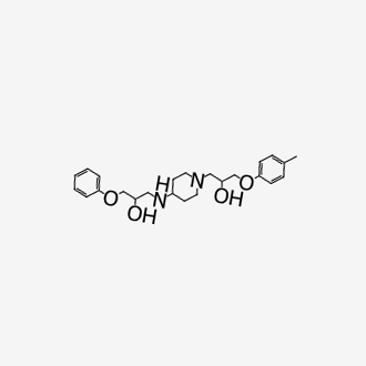 Cc1ccc(OCC(O)CN2CCC(NCC(O)COc3ccccc3)CC2)cc1